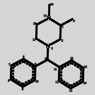 CC1CN(C(c2ccccc2)c2ccccc2)CCN1C